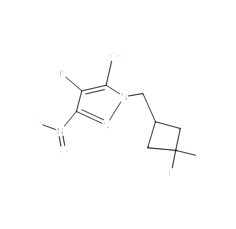 Cc1c(F)c([N+](=O)[O-])nn1CC1CC(F)(F)C1